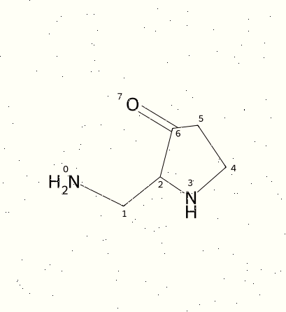 NCC1NCCC1=O